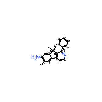 Cc1cc2c(cc1N)C(C)(C)c1c-2ccnc1-c1ccccc1